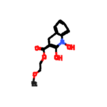 CCOCCOC(=O)C1=C(O)N(O)c2ccccc2C1